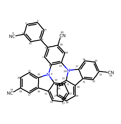 N#Cc1cccc(-c2cc(-n3c4ccccc4c4cc(C#N)ccc43)c(-n3c4ccccc4c4cc(C#N)ccc43)cc2C#N)c1